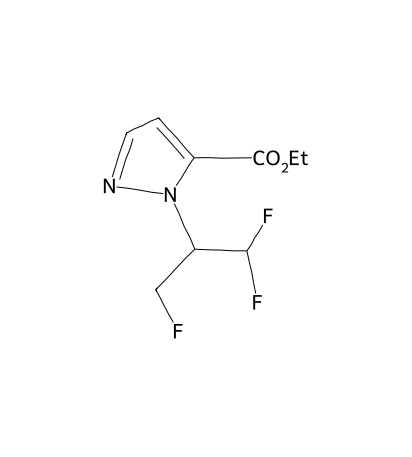 CCOC(=O)c1ccnn1C(CF)C(F)F